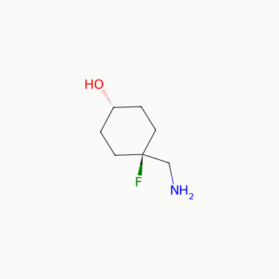 NC[C@]1(F)CC[C@H](O)CC1